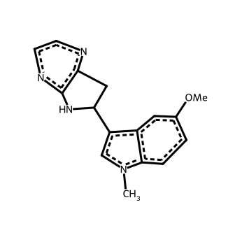 COc1ccc2c(c1)c(C1Cc3nccnc3N1)cn2C